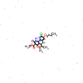 CCCCOc1cc2c(nc1Cl)-c1[nH]c(=O)c(C(=O)OC)c(O)c1C(C(C)C)C2